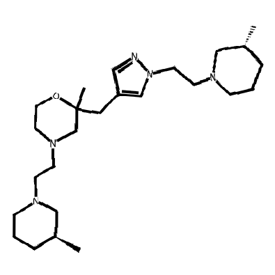 C[C@@H]1CCCN(CCn2cc(CC3(C)CN(CCN4CCC[C@H](C)C4)CCO3)cn2)C1